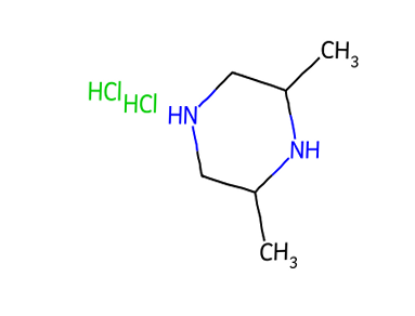 CC1CNCC(C)N1.Cl.Cl